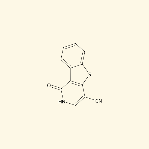 N#Cc1c[nH]c(=O)c2c1sc1ccccc12